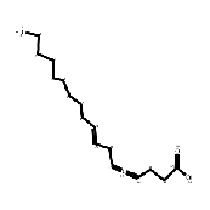 CCCCCCCCCC=CCC=C=CCCC(=O)O